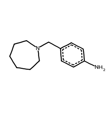 Nc1ccc(CN2CCCCCC2)cc1